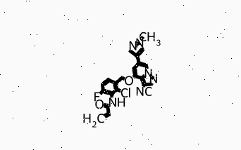 C=CC(=O)Nc1c(F)ccc(COc2cc(-c3cnn(C)c3)cn3ncc(C#N)c23)c1Cl